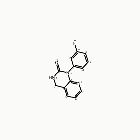 O=C1NCc2cccnc2N1c1cccc(F)c1